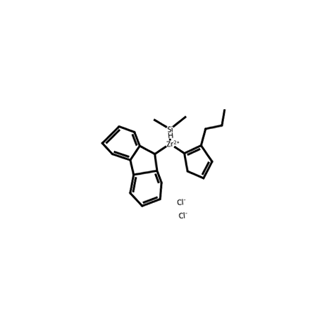 CCCC1=[C]([Zr+2]([CH]2c3ccccc3-c3ccccc32)[SiH](C)C)CC=C1.[Cl-].[Cl-]